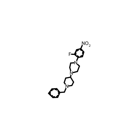 O=[N+]([O-])c1ccc(N2CCN(C3CCN(Cc4ccccc4)CC3)CC2)c(F)c1